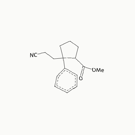 COC(=O)C1CCCC1(CCC#N)c1ccccc1